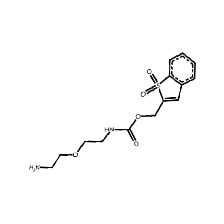 NCCOCCNC(=O)OCC1=Cc2ccccc2S1(=O)=O